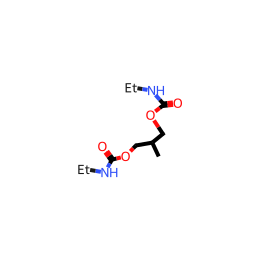 CCNC(=O)OCC(C)COC(=O)NCC